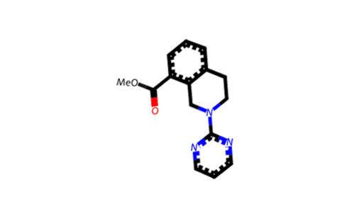 COC(=O)c1cccc2c1CN(c1ncccn1)CC2